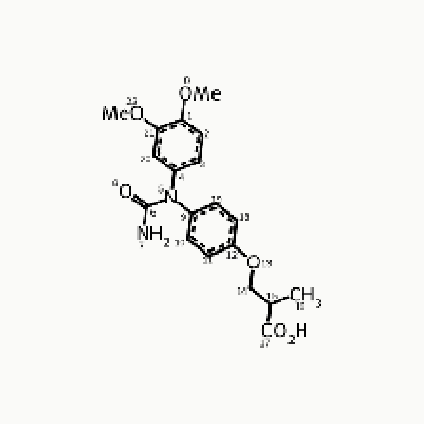 COc1ccc(N(C(N)=O)c2ccc(OCC(C)C(=O)O)cc2)cc1OC